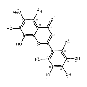 COc1c(O)c(O)c2oc(-c3c(O)c(O)c(O)c(O)c3O)cc(=O)c2c1O